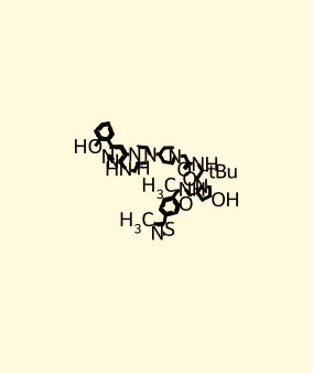 Cc1ncsc1-c1ccc([C@H](C)NC(=O)[C@@H]2C[C@@H](O)CN2C(=O)[C@@H](NC(=O)CN2CCC(N3CCN4c5cc(-c6ccccc6O)nnc5NC[C@@H]4C3)CC2)C(C)(C)C)cc1